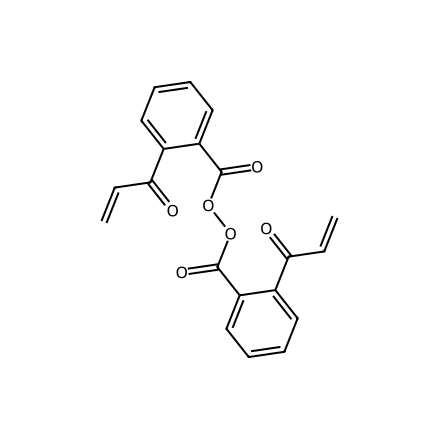 C=CC(=O)c1ccccc1C(=O)OOC(=O)c1ccccc1C(=O)C=C